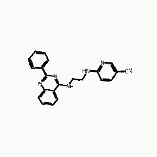 N#Cc1ccc(NCCNc2nc(-c3ccccc3)nc3ccccc23)nc1